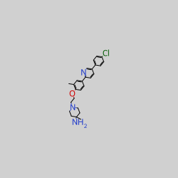 Cc1cc(-c2ccc(-c3ccc(Cl)cc3)cn2)ccc1OCCN1CCC(C)(N)CC1